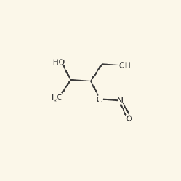 CC(O)C(CO)ON=O